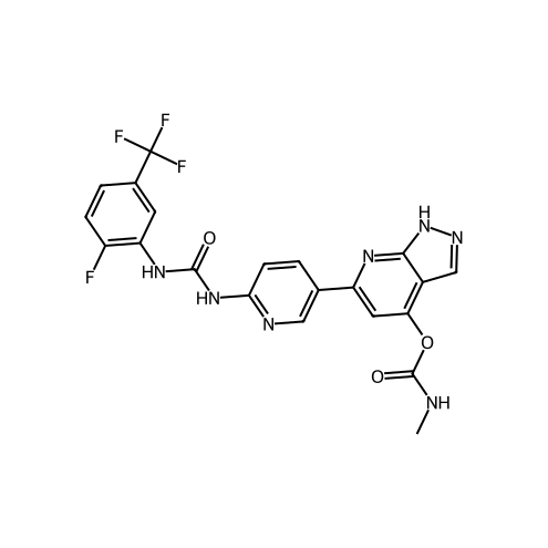 CNC(=O)Oc1cc(-c2ccc(NC(=O)Nc3cc(C(F)(F)F)ccc3F)nc2)nc2[nH]ncc12